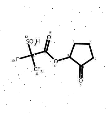 O=C1CCCC1OC(=O)C(F)(C(F)(F)F)S(=O)(=O)O